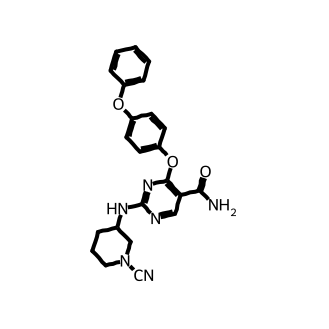 N#CN1CCCC(Nc2ncc(C(N)=O)c(Oc3ccc(Oc4ccccc4)cc3)n2)C1